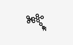 c1ccc(-c2c3ccccc3c(-c3ccc(-n4c5ccccc5c5ccccc54)c4ccccc34)c3ccc(-c4ccc(-c5ccncc5)cc4)cc23)cc1